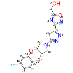 OCc1nc(C2=NN=C(N3CC[C@H](Oc4cc(F)ccc4Br)C3)C2)no1